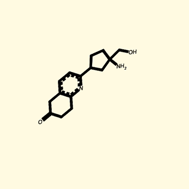 NC1(CO)CCC(c2ccc3c(n2)CCC(=O)C3)C1